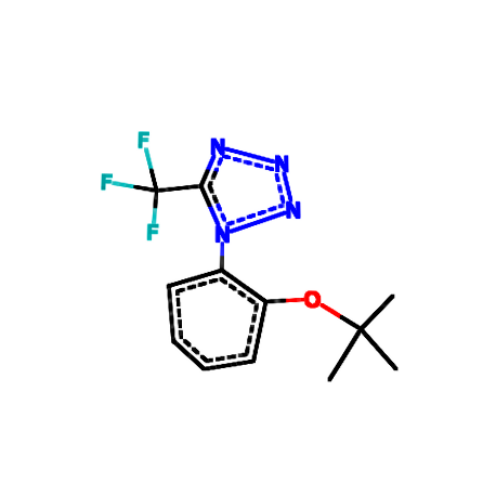 CC(C)(C)Oc1ccccc1-n1nnnc1C(F)(F)F